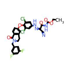 CCOC(=O)NC(=O)C(C#N)=NNc1cc(Cl)c(Oc2ccc3c(c2)CCN(Cc2cc(F)cc(F)c2)C3=O)c(Cl)c1